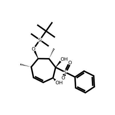 C[C@H]1C=C[C@H](O)[C@@](O)(S(=O)(=O)c2ccccc2)[C@@H](C)[C@@H]1O[Si](C)(C)C(C)(C)C